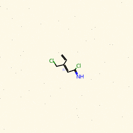 C=C/C(=C\C(=N)Cl)CCl